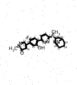 CN(c1ccc(-c2cc(F)c(-c3cnn(C)c(=O)c3)cc2O)nn1)C1CC2CCCC(C1)N2